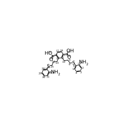 Nc1ccccc1SCCCc1c(C(=O)O)ccc(C(=O)O)c1CCCSc1ccccc1N